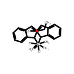 [CH2]=[Zr]([CH3])([CH3])([Cl])([Cl])([CH]1C(C)=Cc2ccccc21)[CH]1C(CC)=Cc2ccccc21